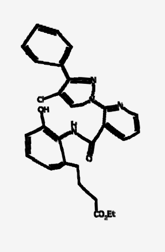 CCOC(=O)CCCc1cccc(O)c1NC(=O)c1cccnc1-n1cc(Cl)c(-c2ccccc2)n1